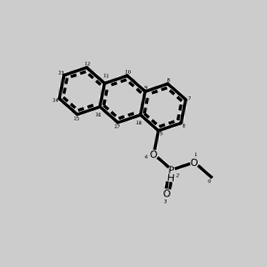 CO[PH](=O)Oc1cccc2cc3ccccc3cc12